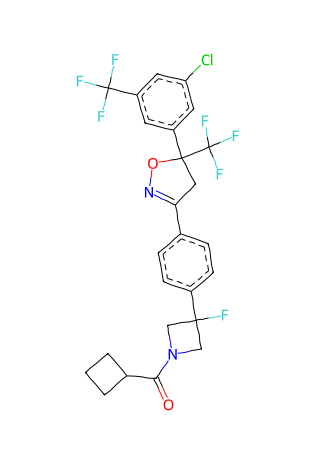 O=C(C1CCC1)N1CC(F)(c2ccc(C3=NOC(c4cc(Cl)cc(C(F)(F)F)c4)(C(F)(F)F)C3)cc2)C1